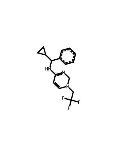 FC(F)(F)CN1C=CC(NC(c2ccccc2)C2CC2)=NC1